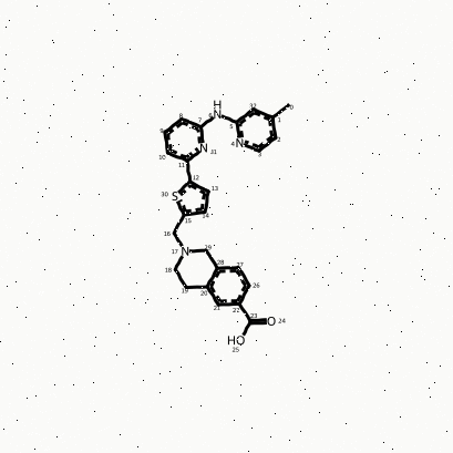 Cc1ccnc(Nc2cccc(-c3ccc(CN4CCc5cc(C(=O)O)ccc5C4)s3)n2)c1